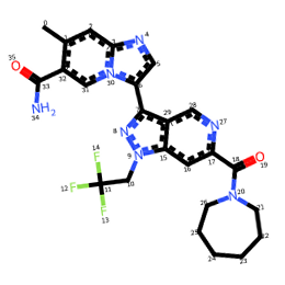 Cc1cc2ncc(-c3nn(CC(F)(F)F)c4cc(C(=O)N5CCCCCC5)ncc34)n2cc1C(N)=O